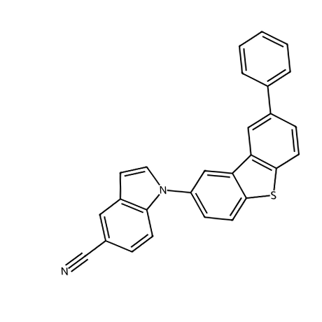 N#Cc1ccc2c(ccn2-c2ccc3sc4ccc(-c5ccccc5)cc4c3c2)c1